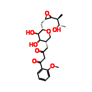 COc1ccccc1C(=O)CC(=O)C[C@H]1CO[C@@H](C[C@@H]2O[C@H]2[C@@H](C)[C@H](C)O)[C@H](O)[C@@H]1O